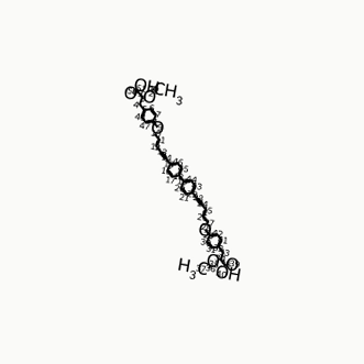 CCOC(Cc1ccc(OCC=CC#Cc2ccc(-c3ccc(C#CC=CCOc4ccc(CC(OCC)C(=O)O)cc4)cc3)cc2)cc1)C(=O)O